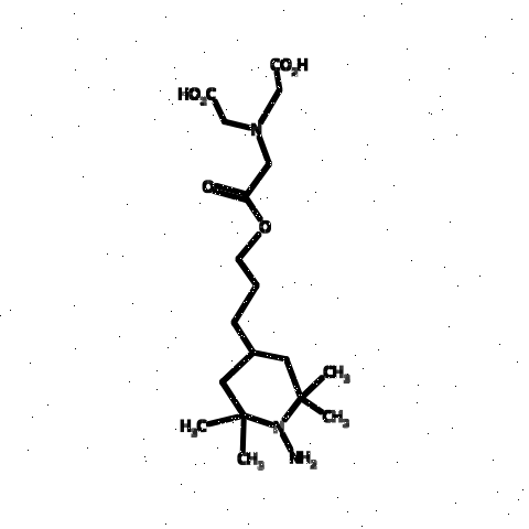 CC1(C)CC(CCCOC(=O)CN(CC(=O)O)CC(=O)O)CC(C)(C)N1N